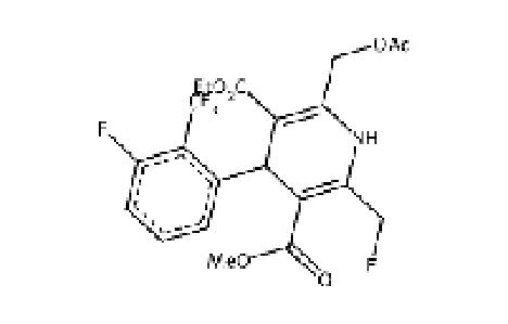 CCOC(=O)C1=C(COC(C)=O)NC(CF)=C(C(=O)OC)C1c1cccc(F)c1C(F)(F)F